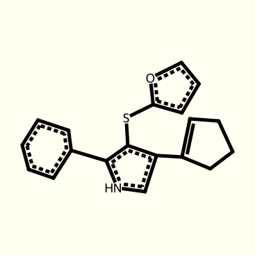 C1=C(c2c[nH]c(-c3ccccc3)c2Sc2ccco2)CCC1